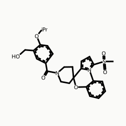 CC(C)Oc1ccc(C(=O)N2CCC3(CC2)Oc2ccccc2-n2c3ccc2S(C)(=O)=O)cc1CO